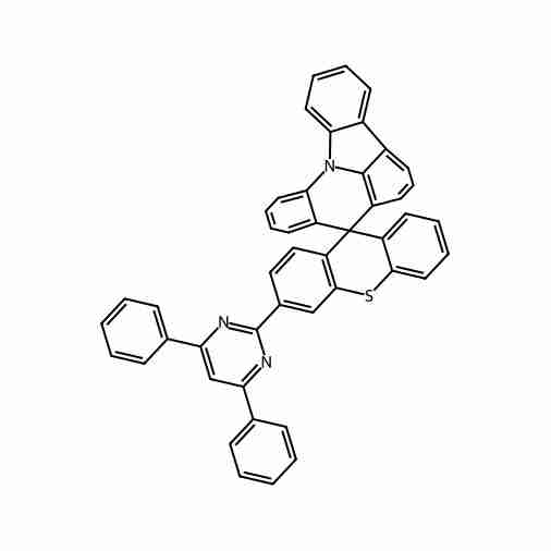 c1ccc(-c2cc(-c3ccccc3)nc(-c3ccc4c(c3)Sc3ccccc3C43c4ccccc4-n4c5ccccc5c5cccc3c54)n2)cc1